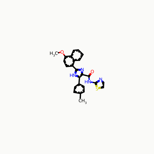 COc1ccc(-c2nc(C(=O)Nc3nccs3)c(-c3ccc(C)cc3)[nH]2)c2ccccc12